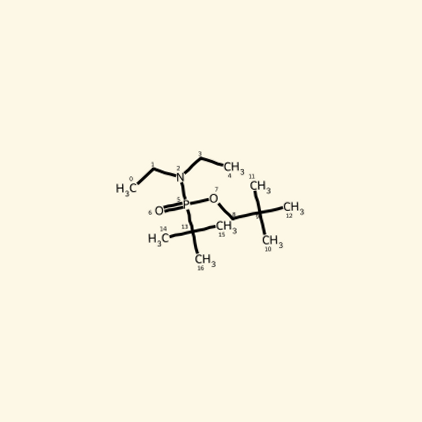 CCN(CC)P(=O)(OCC(C)(C)C)C(C)(C)C